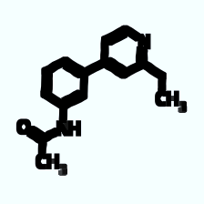 CCc1cc(-c2cccc(NC(C)=O)c2)ccn1